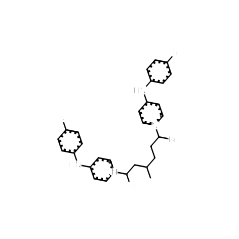 CC(CCC(Br)[n+]1ccc(Nc2ccc(Br)cc2)cc1)CC(Br)[n+]1ccc(Nc2ccc(Br)cc2)cc1